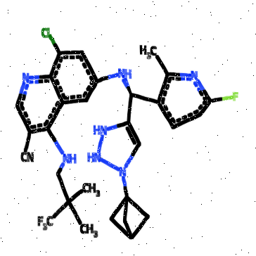 Cc1nc(F)ccc1[C@H](Nc1cc(Cl)c2ncc(C#N)c(NCC(C)(C)C(F)(F)F)c2c1)C1=CN(C23CC(C2)C3)NN1